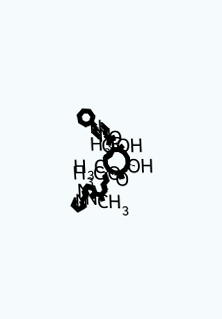 C/C(=C\C=C\C(C)c1ccnc(N2CCCC2)n1)[C@H]1OC(=O)C[C@@H](O)CC[C@](C)(O)[C@@H](OC(=O)N2CCN(C3CCCCCC3)CC2)/C=C/[C@@H]1C